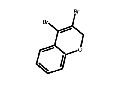 BrC1=C(Br)c2ccccc2OC1